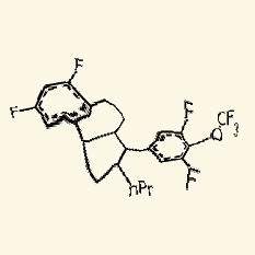 CCCC1CCC2c3cc(F)cc(F)c3CCC2C1c1cc(F)c(OC(F)(F)F)c(F)c1